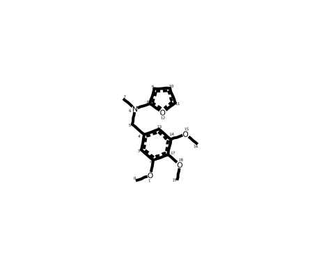 COc1cc(CN(C)c2ccco2)cc(OC)c1OC